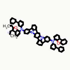 C=Cc1oc2c(N(c3cccc(-c4ccccc4)c3)c3ccc4c(c3)c3cccc5c6cc7c(cc6n4c35)c3cccc4c5cc(N(c6cccc(-c8ccccc8)c6)c6cccc8c6oc6ccccc68)ccc5n7c43)cccc2c1/C=C\C